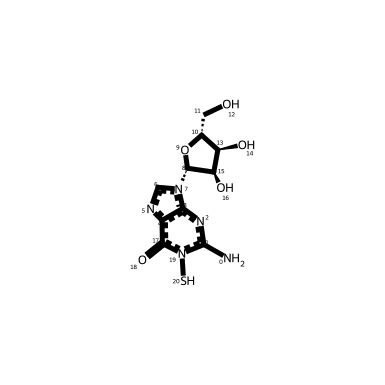 Nc1nc2c(ncn2[C@@H]2O[C@H](CO)[C@@H](O)[C@H]2O)c(=O)n1S